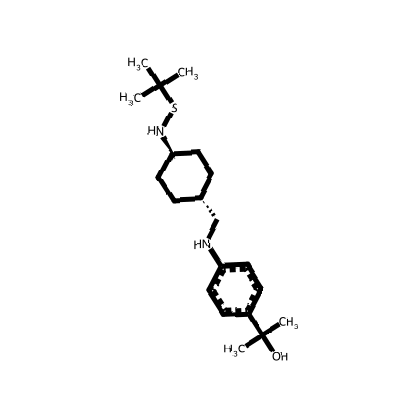 CC(C)(C)SN[C@H]1CC[C@H](CNc2ccc(C(C)(C)O)cc2)CC1